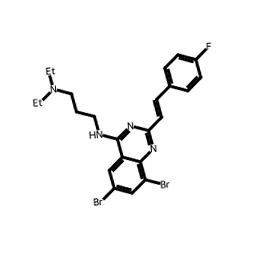 CCN(CC)CCCNc1nc(/C=C/c2ccc(F)cc2)nc2c(Br)cc(Br)cc12